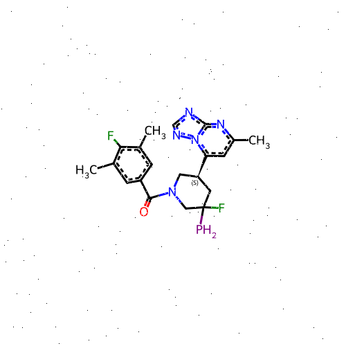 Cc1cc([C@@H]2CN(C(=O)c3cc(C)c(F)c(C)c3)CC(F)(P)C2)n2ncnc2n1